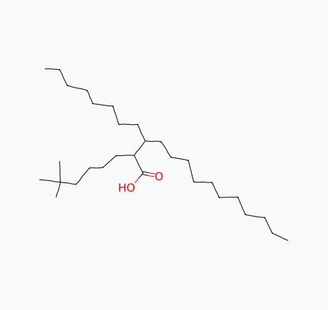 CCCCCCCCCCCC(CCCCCCCC)C(CCCCC(C)(C)C)C(=O)O